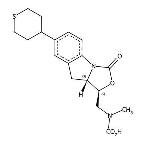 CN(C[C@@H]1OC(=O)N2c3ccc(C4CCSCC4)cc3C[C@@H]12)C(=O)O